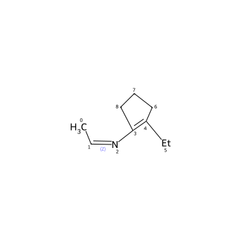 C/C=N\C1=C(CC)CCC1